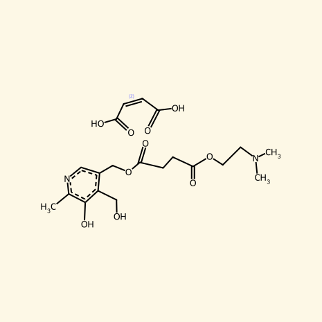 Cc1ncc(COC(=O)CCC(=O)OCCN(C)C)c(CO)c1O.O=C(O)/C=C\C(=O)O